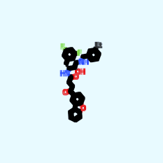 CCc1cccc(CNC[C@H](O)[C@@H](Cc2cc(F)cc(F)c2)NC(=O)CCC(=O)c2ccc3c(c2)C2C=CC=CC2O3)c1